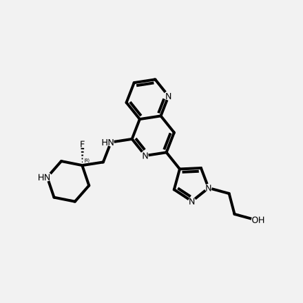 OCCn1cc(-c2cc3ncccc3c(NC[C@@]3(F)CCCNC3)n2)cn1